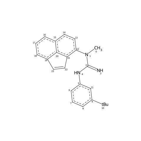 CN(C(=N)Nc1cccc(C(C)(C)C)c1)c1ccc2cccc3c2c1C=C3